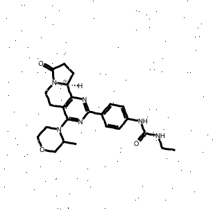 CCNC(=O)Nc1ccc(-c2nc3c(c(N4CCOCC4C)n2)CCN2C(=O)CC[C@@H]32)cc1